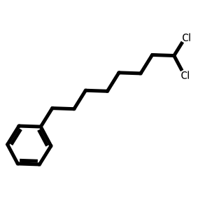 ClC(Cl)CCCCCCCc1ccccc1